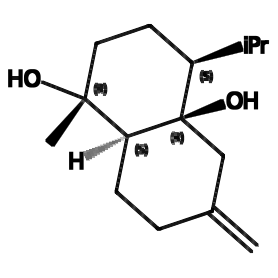 C=C1CC[C@@H]2[C@@](O)(C1)[C@H](C(C)C)CC[C@@]2(C)O